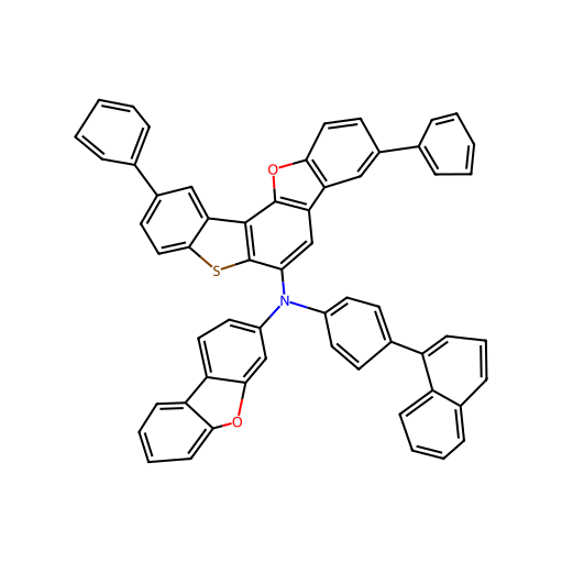 c1ccc(-c2ccc3oc4c(cc(N(c5ccc(-c6cccc7ccccc67)cc5)c5ccc6c(c5)oc5ccccc56)c5sc6ccc(-c7ccccc7)cc6c54)c3c2)cc1